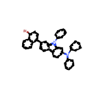 Brc1ccc(-c2ccc3c4ccc(N(c5ccccc5)c5ccccc5)cc4n(-c4ccccc4)c3c2)c2ccccc12